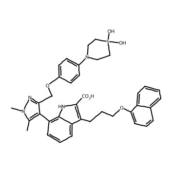 Cc1c(-c2cccc3c(CCCOc4cccc5ccccc45)c(C(=O)O)[nH]c23)c(COc2ccc(N3CCS(O)(O)CC3)cc2)nn1C